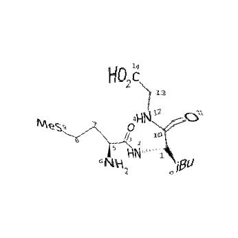 CC[C@H](C)[C@H](NC(=O)[C@@H](N)CCSC)C(=O)NCC(=O)O